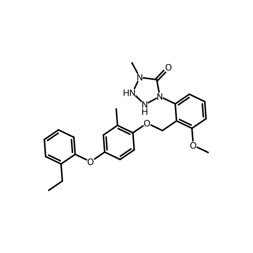 CCc1ccccc1Oc1ccc(OCc2c(OC)cccc2N2NNN(C)C2=O)c(C)c1